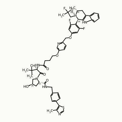 Cc1ncsc1-c1ccc(CNC(=O)[C@@H]2C[C@@H](O)CN2C(=O)C(NC(=O)CCCOc2ccc(COc3cc(F)c([C@@H]4c5[nH]c6ccccc6c5C[C@@H](C)N4CC(C)(C)F)c(F)c3)nc2)C(C)(C)C)cc1